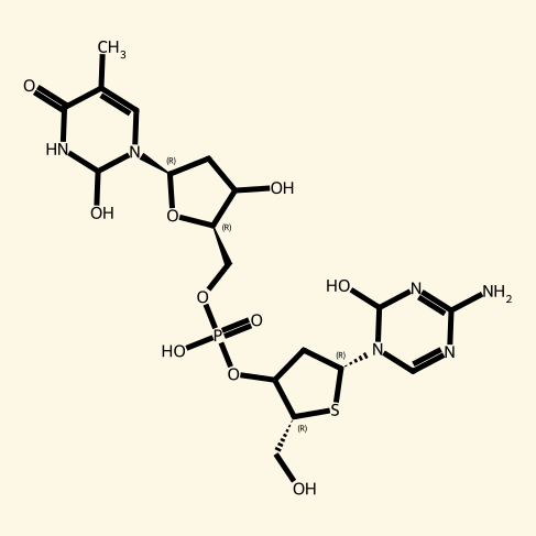 CC1=CN([C@H]2CC(O)[C@@H](COP(=O)(O)OC3C[C@H](N4C=NC(N)=NC4O)S[C@@H]3CO)O2)C(O)NC1=O